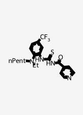 CCCCCN(CC)c1ccc(C(F)(F)F)cc1NC(=S)NC(=O)c1ccncc1